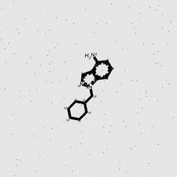 Nc1cccc2c1cnn2CC1CCCCC1